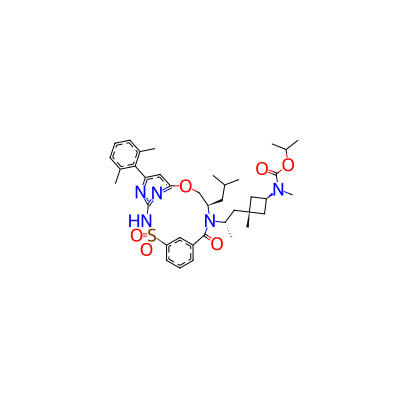 Cc1cccc(C)c1-c1cc2nc(n1)NS(=O)(=O)c1cccc(c1)C(=O)N([C@@H](C)C[C@]1(C)C[C@@H](N(C)C(=O)OC(C)C)C1)[C@H](CC(C)C)CO2